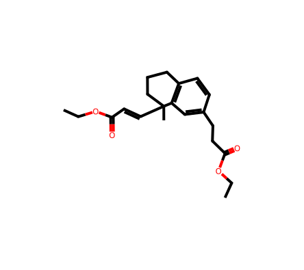 CCOC(=O)/C=C/C1(C)CCCc2ccc(CCC(=O)OCC)cc21